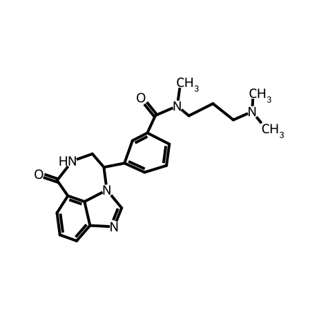 CN(C)CCCN(C)C(=O)c1cccc(C2CNC(=O)c3cccc4ncn2c34)c1